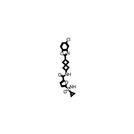 N=S(=O)(c1ccc(C(=O)NC2CC3(C2)CC(c2nc4cc(Cl)ccc4o2)C3)o1)C1CC1